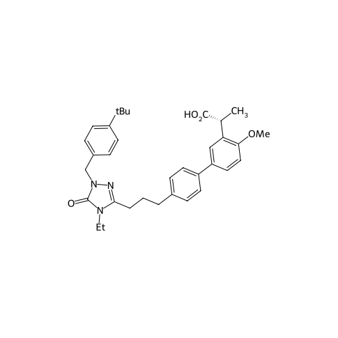 CCn1c(CCCc2ccc(-c3ccc(OC)c([C@@H](C)C(=O)O)c3)cc2)nn(Cc2ccc(C(C)(C)C)cc2)c1=O